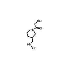 CC(C)NCC1CCCN(C(=O)OC(C)(C)C)C1